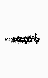 CNS(=O)(=O)NC1=C(F)C(CC2=C(C)c3ccc(OC4=NC=CCN4)cc3OC2O)=CCN1